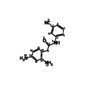 N#Cc1cccc(NC(=O)Cc2ccc(N)cc2N)c1